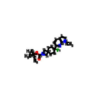 Cn1ccc2ccc(C3(F)CCC4(CC3)CN(C(=O)OC(C)(C)C)C4)nc21